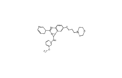 FC(F)(F)Oc1cccc(NC2C3c4cc(OCCCN5CCOCC5)ccc4N=C(C4C=NC=CC4)N23)c1